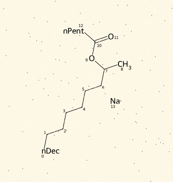 CCCCCCCCCCCCCCCCC(C)OC(=O)CCCCC.[Na]